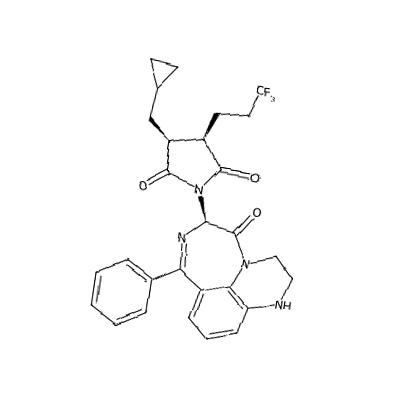 O=C1[C@H](N2C(=O)[C@@H](CC3CC3)[C@@H](CCC(F)(F)F)C2=O)N=C(c2ccccc2)c2cccc3c2N1CCN3